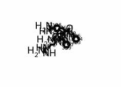 N=C(N)NCCCC(NC(=O)[C@@H](NC(=O)C(Cc1ccc(C(=N)N)cc1)C(=O)NCc1ccccc1)C1CCCCC1)C(N)=O